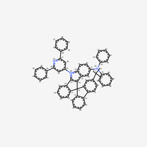 CC(C)(C)c1ccc2c(c1)C1(c3ccccc3-2)c2ccccc2-c2c1c1cc(N(c3ccccc3)c3ccccc3)ccc1n2-c1cc(-c2ccccc2)nc(-c2ccccc2)c1